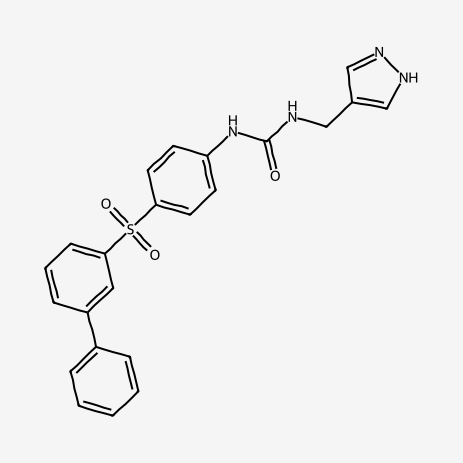 O=C(NCc1cn[nH]c1)Nc1ccc(S(=O)(=O)c2cccc(-c3ccccc3)c2)cc1